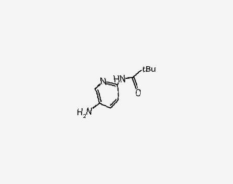 CC(C)(C)C(=O)Nc1ccc(N)cn1